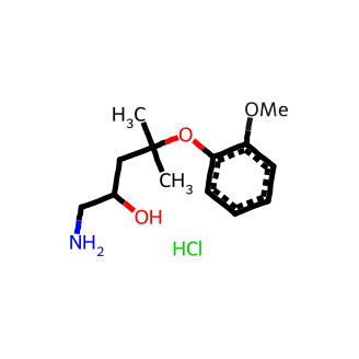 COc1ccccc1OC(C)(C)CC(O)CN.Cl